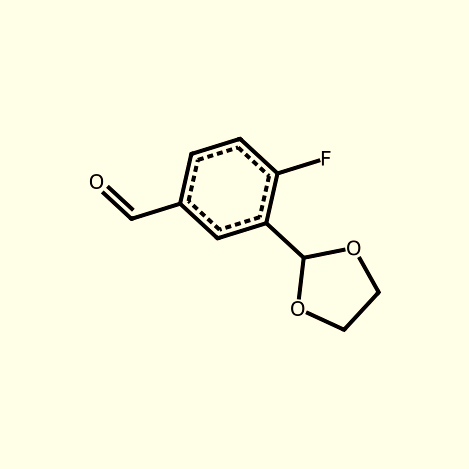 O=Cc1ccc(F)c(C2OCCO2)c1